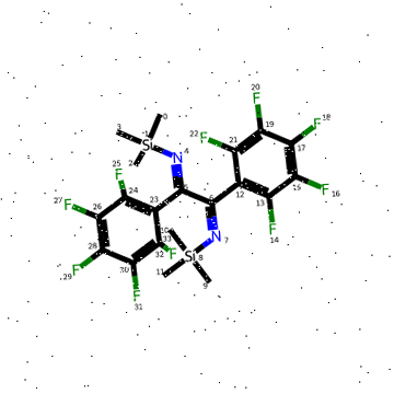 C[Si](C)(C)N=C(C(=N[Si](C)(C)C)c1c(F)c(F)c(F)c(F)c1F)c1c(F)c(F)c(F)c(F)c1F